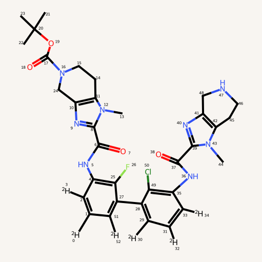 [2H]c1c([2H])c(NC(=O)c2nc3c(n2C)CCN(C(=O)OC(C)(C)C)C3)c(F)c(-c2c([2H])c([2H])c([2H])c(NC(=O)c3nc4c(n3C)CCNC4)c2Cl)c1[2H]